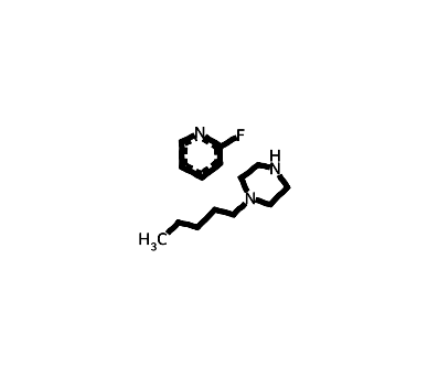 CCCCCN1CCNCC1.Fc1ccccn1